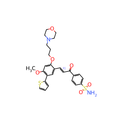 COc1cc(OCCCN2CCOCC2)c(/C=C/C(=O)c2ccc(S(N)(=O)=O)cc2)cc1-c1cccs1